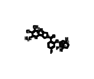 Cc1nc2c3c(nn2c(C)c1Cl)CN(C(=O)c1ccc(F)cc1O[C@@H]1C[C@@H]2CC[C@@H](N2)[C@@H]1F)C3